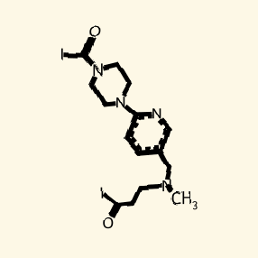 CN(CCC(=O)I)Cc1ccc(N2CCN(C(=O)I)CC2)nc1